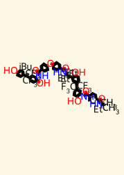 CCC(C)c1cc(C(c2ccc(O)c(NC(=O)c3ccc(Oc4ccc(C(=O)NC(CC)(CC)C(CC)(CC)c5cc(C(c6ccc(O)c(NC(=O)C7CCC(C(=O)NC(C)(C)CC)CC7)c6)(C(F)(F)F)C(F)(F)F)ccc5O)cc4)cc3)c2)(C(F)(F)F)C(F)(F)F)ccc1O